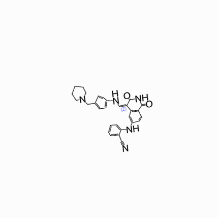 N#Cc1ccccc1Nc1ccc2c(c1)/C(=C/Nc1ccc(CN3CCCCC3)cc1)C(=O)NC2=O